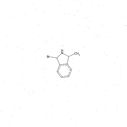 CC1NC(Br)c2ccccc21